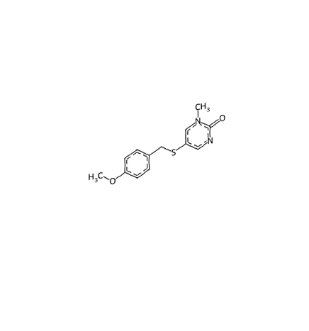 COc1ccc(CSc2cnc(=O)n(C)c2)cc1